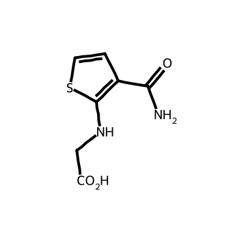 NC(=O)c1ccsc1NCC(=O)O